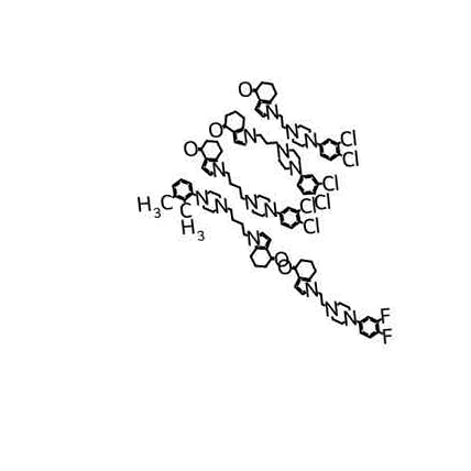 Cc1cccc(N2CCN(CCCCn3ccc4c3CCCC4=O)CC2)c1C.O=C1CCCc2c1ccn2CCCCN1CCN(c2ccc(Cl)c(Cl)c2)CC1.O=C1CCCc2c1ccn2CCCN1CCN(c2ccc(Cl)c(Cl)c2)CC1.O=C1CCCc2c1ccn2CCN1CCN(c2ccc(Cl)c(Cl)c2)CC1.O=C1CCCc2c1ccn2CCN1CCN(c2ccc(F)c(F)c2)CC1